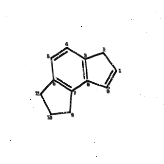 [C]1=CCc2ccc3c(c21)CCC3